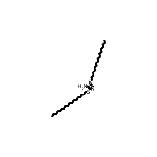 CCCCCCCCCCCCCCCCCCSc1nnn(SCCCCCCCCCCCCCCCCCC)c1N